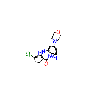 O=C1Nc2ccc(N3CCOCC3)cc2NC2=C1CCC(Cl)=C2